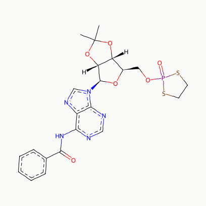 CC1(C)O[C@@H]2[C@H](O1)[C@@H](COP1(=O)SCCS1)O[C@H]2n1cnc2c(NC(=O)c3ccccc3)ncnc21